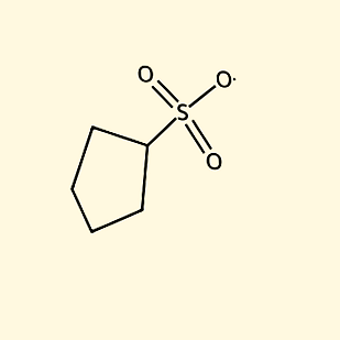 [O]S(=O)(=O)C1CCCC1